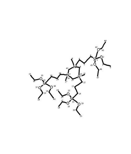 CCO[Si](CCC[N+]1(C)C[N+](C)(CCC[Si](OCC)(OCC)OCC)C[N+](C)(CCC[Si](OCC)(OCC)OCC)C1)(OCC)OCC